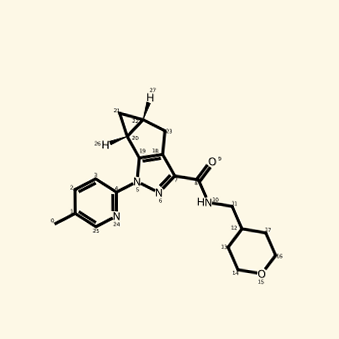 Cc1ccc(-n2nc(C(=O)NCC3CCOCC3)c3c2[C@@H]2C[C@@H]2C3)nc1